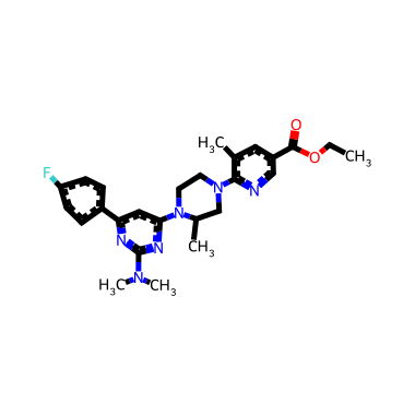 CCOC(=O)c1cnc(N2CCN(c3cc(-c4ccc(F)cc4)nc(N(C)C)n3)C(C)C2)c(C)c1